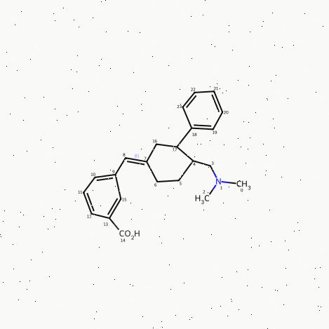 CN(C)CC1CC/C(=C\c2cccc(C(=O)O)c2)CC1c1ccccc1